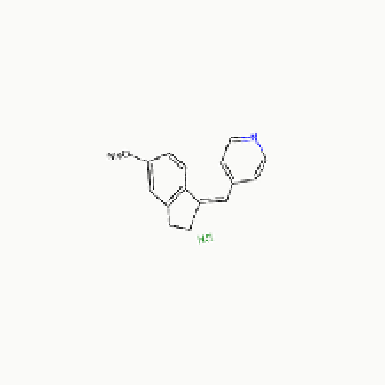 COc1ccc2c(c1)CC/C2=C/c1ccncc1.Cl